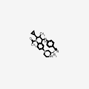 CC(=O)N1c2ccc(N3CCN[C@H](C)C3)cc2C(Nc2ccc(C#N)cc2)C(C)C1C1CC1